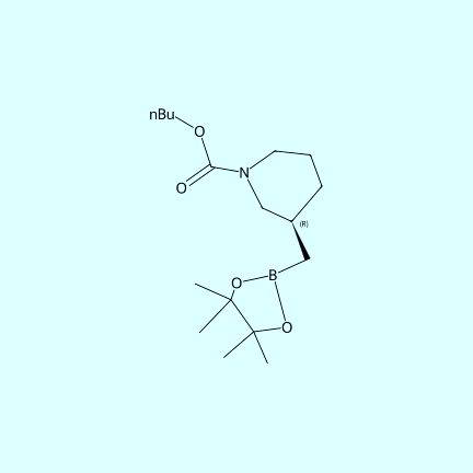 CCCCOC(=O)N1CCC[C@@H](CB2OC(C)(C)C(C)(C)O2)C1